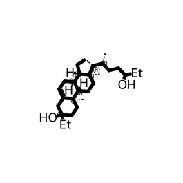 CCC(O)CC[C@@H](C)[C@H]1CC[C@H]2[C@@H]3CC=C4C[C@](O)(CC)CC[C@]4(C)[C@H]3CC[C@]12C